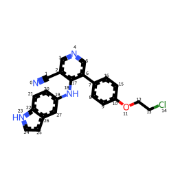 N#Cc1cncc(-c2ccc(OCCCl)cc2)c1Nc1ccc2[nH]ccc2c1